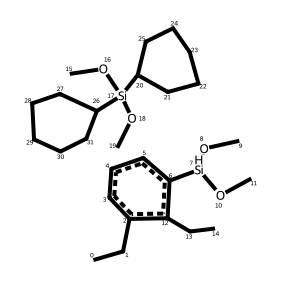 CCc1cccc([SiH](OC)OC)c1CC.CO[Si](OC)(C1CCCCC1)C1CCCCC1